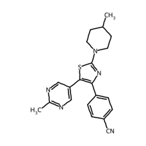 Cc1ncc(-c2sc(N3CCC(C)CC3)nc2-c2ccc(C#N)cc2)cn1